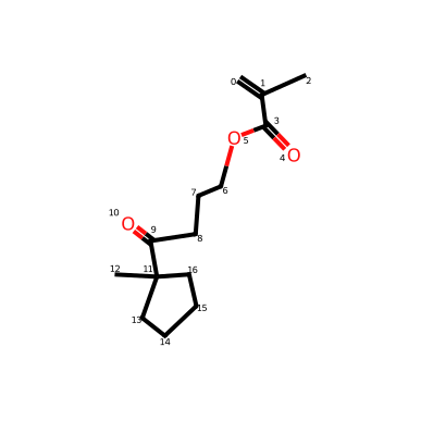 C=C(C)C(=O)OCCCC(=O)C1(C)CCCC1